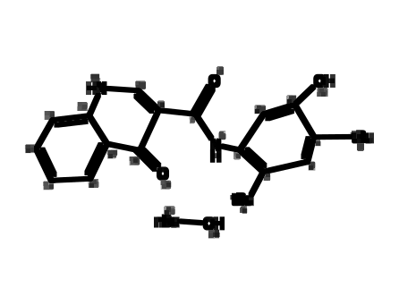 CC(C)(C)c1cc(C(C)(C)C)c(NC(=O)c2c[nH]c3ccccc3c2=O)cc1O.CCCCO